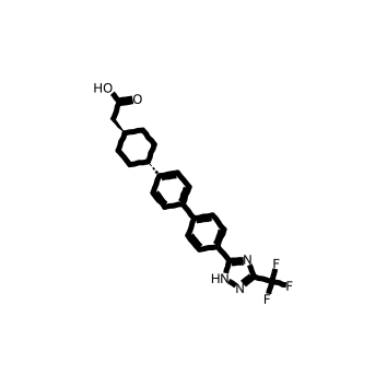 O=C(O)C[C@H]1CC[C@H](c2ccc(-c3ccc(-c4nc(C(F)(F)F)n[nH]4)cc3)cc2)CC1